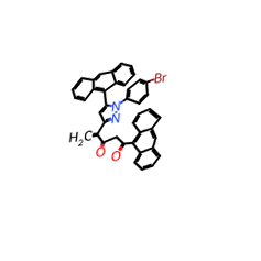 C=C(C(=O)CC(=O)c1c2ccccc2cc2ccccc12)c1cc(-c2c3ccccc3cc3ccccc23)n(-c2ccc(Br)cc2)n1